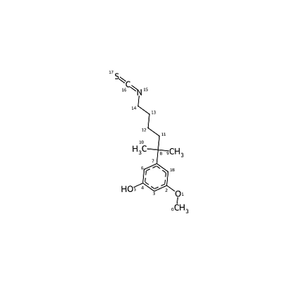 COc1cc(O)cc(C(C)(C)CCCCN=C=S)c1